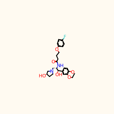 O=C(CCCOc1ccc(F)cc1)N[C@@H](CN1CC[C@H](O)C1)[C@H](O)c1ccc2c(c1)OCCO2